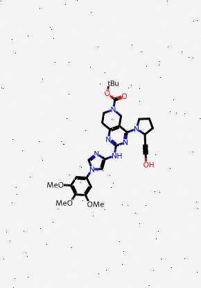 COc1cc(-n2cnc(Nc3nc4c(c(N5CCCC5C#CO)n3)CN(C(=O)OC(C)(C)C)CC4)c2)cc(OC)c1OC